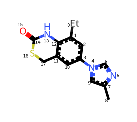 CCc1cc(-n2cnc(C)c2)cc2c1NC(=O)SC2